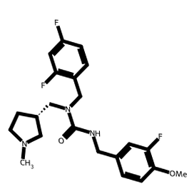 COc1ccc(CNC(=O)N(Cc2ccc(F)cc2F)C[C@H]2CCN(C)C2)cc1F